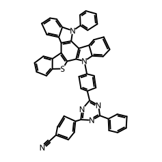 N#Cc1ccc(-c2nc(-c3ccccc3)nc(-c3ccc(-n4c5ccccc5c5c4c4sc6ccccc6c4c4c6ccccc6n(-c6ccccc6)c45)cc3)n2)cc1